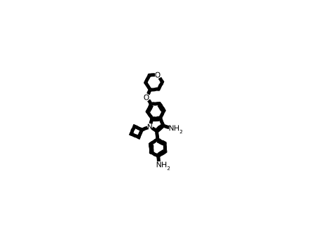 Nc1ccc(-c2c(N)c3ccc(OC4CCOCC4)cc3n2C2CCC2)cc1